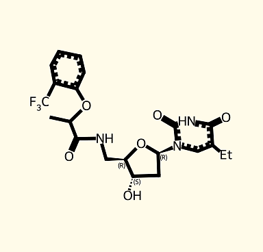 CCc1cn([C@H]2C[C@H](O)[C@@H](CNC(=O)C(C)Oc3ccccc3C(F)(F)F)O2)c(=O)[nH]c1=O